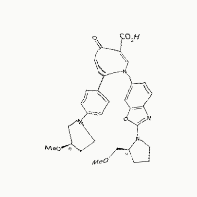 COC[C@@H]1CCCN1c1nc2ccc(-n3cc(C(=O)O)c(=O)cc3-c3ccc(N4CC[C@@H](OC)C4)cc3)cc2o1